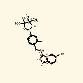 CC1(C)OB(c2ccc(CNc3nnc4ccc(Cl)cn34)c(F)c2)OC1(C)C